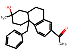 COC(=O)c1ccc2c(c1)CCC1CC(O)(C(F)(F)F)CCC21Cc1ccccc1